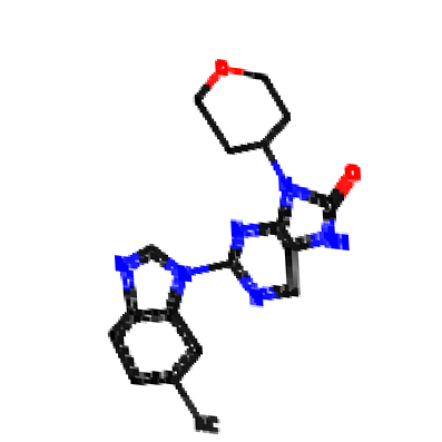 [C-]#[N+]c1ccc2ncn(-c3ncc4[nH]c(=O)n(C5CCOCC5)c4n3)c2c1